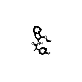 CCOC1c2ccccc2CC1NC(=O)C(C)c1ccc(F)cc1